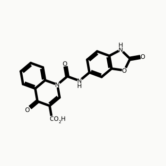 O=C(O)c1cn(C(=O)Nc2ccc3[nH]c(=O)oc3c2)c2ccccc2c1=O